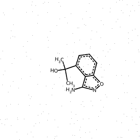 CC(C)(O)c1cccc2onc(N)c12